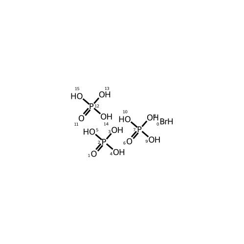 Br.O=P(O)(O)O.O=P(O)(O)O.O=P(O)(O)O